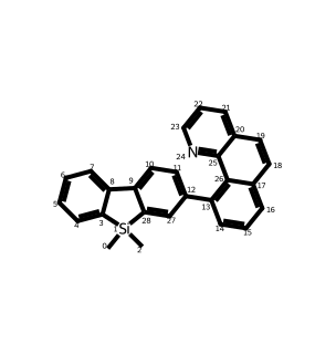 C[Si]1(C)c2ccccc2-c2ccc(-c3cccc4ccc5cccnc5c34)cc21